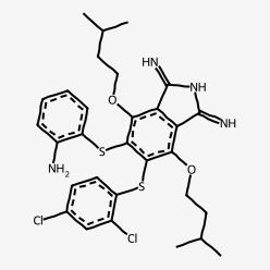 CC(C)CCOc1c(Sc2ccccc2N)c(Sc2ccc(Cl)cc2Cl)c(OCCC(C)C)c2c1C(=N)NC2=N